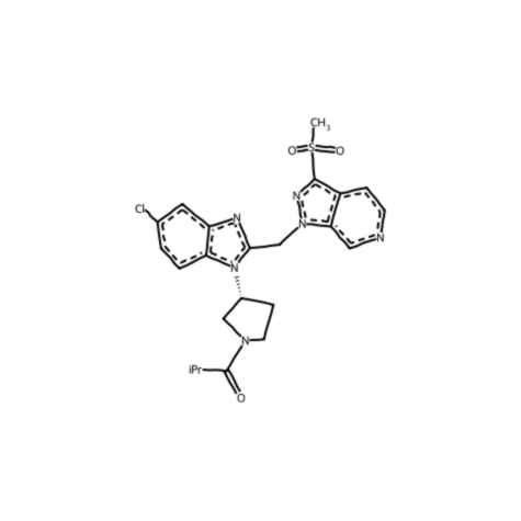 CC(C)C(=O)N1CC[C@@H](n2c(Cn3nc(S(C)(=O)=O)c4ccncc43)nc3cc(Cl)ccc32)C1